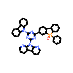 O=P1(c2ccccc2)c2ccccc2-c2ccc(-c3nc(-n4c5ccccc5c5ccccc54)nc(-n4c5ncccc5c5cccnc54)n3)cc21